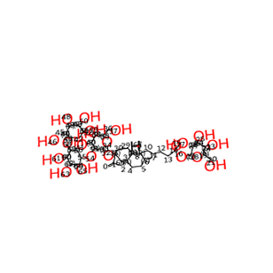 C=C1C[C@@]23CC[C@H](C)[C@@](C)(CCCCC(=O)O[C@@H]4O[C@H](CO)[C@@H](O)[C@H](O)[C@H]4O)[C@@H]2CC[C@]1(O[C@@H]1O[C@H](CO)[C@@H](O)[C@H](OC2C[C@H](CO)[C@@H](O)[C@H](O)[C@H]2O)[C@H]1OC1C[C@H](CO)[C@@H](O)[C@H](O)[C@H]1O)C3